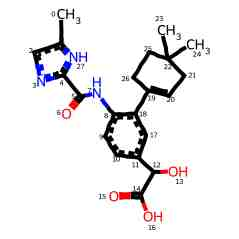 Cc1cnc(C(=O)Nc2ccc(C(O)C(=O)O)cc2C2=CCC(C)(C)CC2)[nH]1